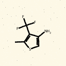 Cc1scc(N)c1C(F)(F)F